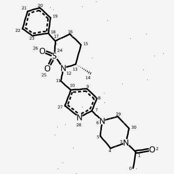 CC(=O)N1CCN(c2ccc(CN3[C@@H](C)CCC(c4ccccc4)S3(=O)=O)cn2)CC1